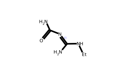 CCN/C(N)=N/C(N)=O